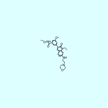 CCONC(=O)c1cc(OC)cc(-c2cc3cnc(NCCN4CCOCC4)cc3n(CC)c2=O)c1